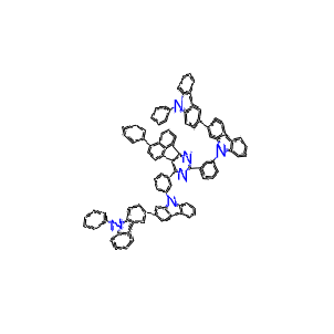 c1ccc(-c2ccc3c4c(cccc24)-c2nc(-c4cccc(-n5c6ccccc6c6ccc(-c7ccc8c(c7)c7ccccc7n8-c7ccccc7)cc65)c4)nc(-c4cccc(-n5c6ccccc6c6ccc(-c7ccc8c(c7)c7ccccc7n8-c7ccccc7)cc65)c4)c2-3)cc1